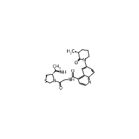 CC(=N)[C@@H]1CSCN1C(=O)CNC(=O)c1ccnc2ccc(N3CCC[C@H](C)C3=O)cc12